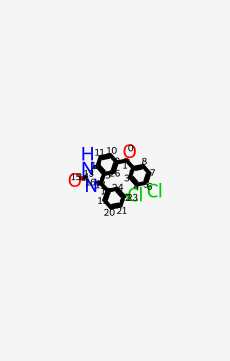 O=C(c1ccc(Cl)cc1)c1ccc2[nH]c(=O)nc(-c3cccc(Cl)c3)c2c1